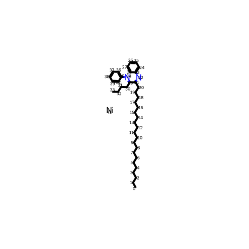 CCCCCCCCCCCCCCCCCCCCCC(=Nc1ccccc1)C(CCCC)=Nc1ccccc1.[Ni]